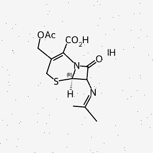 CC(=O)OCC1=C(C(=O)O)N2C(=O)C(N=C(C)C)[C@H]2SC1.I